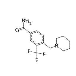 NC(=O)c1ccc(CN2CCCCC2)c(C(F)(F)F)c1